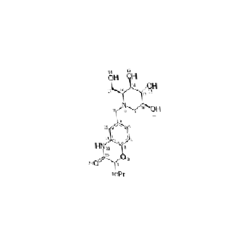 CCCC1Oc2ccc(CN3C[C@H](O)[C@@H](O)[C@H](O)[C@@H]3CO)cc2NC1=O